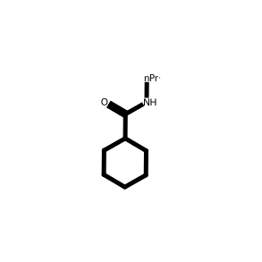 CC[CH]NC(=O)C1CCCCC1